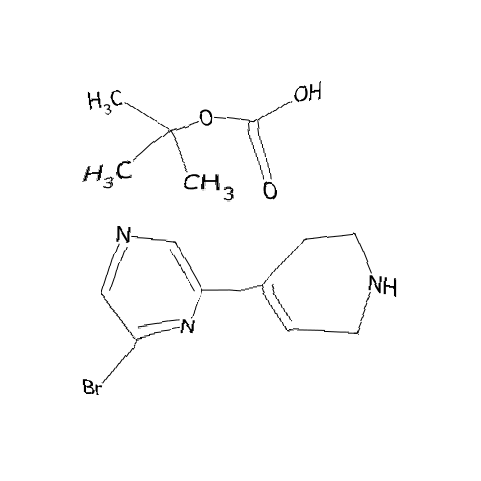 Brc1cncc(C2=CCNCC2)n1.CC(C)(C)OC(=O)O